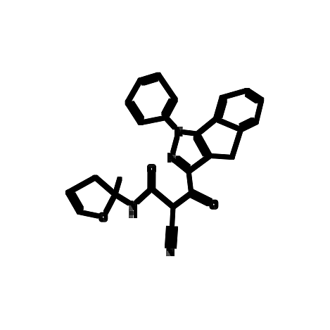 CC1(NC(=O)C(C#N)C(=O)c2nn(-c3ccccc3)c3c2Cc2ccccc2-3)CC=CO1